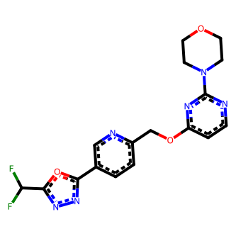 FC(F)c1nnc(-c2ccc(COc3ccnc(N4CCOCC4)n3)nc2)o1